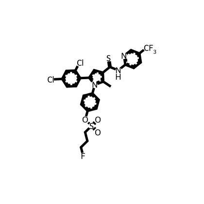 Cc1c(C(=S)Nc2ccc(C(F)(F)F)cn2)cc(-c2ccc(Cl)cc2Cl)n1-c1ccc(OS(=O)(=O)CCCF)cc1